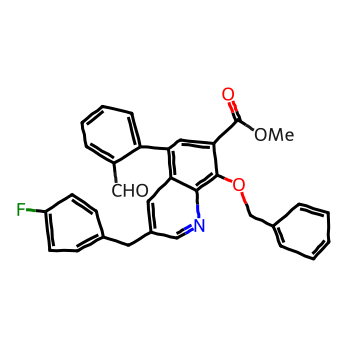 COC(=O)c1cc(-c2ccccc2C=O)c2cc(Cc3ccc(F)cc3)cnc2c1OCc1ccccc1